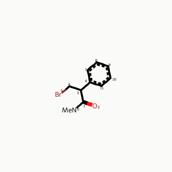 CNC(=O)C(CBr)c1ccccc1